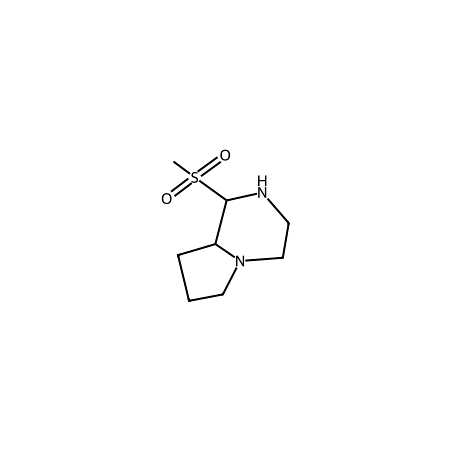 CS(=O)(=O)C1NCCN2CCCC12